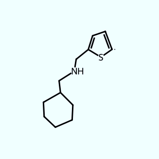 [c]1ccc(CNCC2CCCCC2)s1